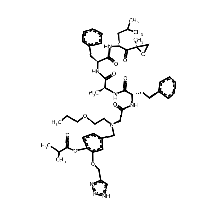 CCCOCCN(CC(=O)N[C@@H](CCc1ccccc1)C(=O)N[C@@H](C)C(=O)N[C@@H](Cc1ccccc1)C(=O)N[C@@H](CC(C)C)C(=O)[C@@]1(C)CO1)Cc1ccc(OC(=O)C(C)C)c(OCc2c[nH]nn2)c1